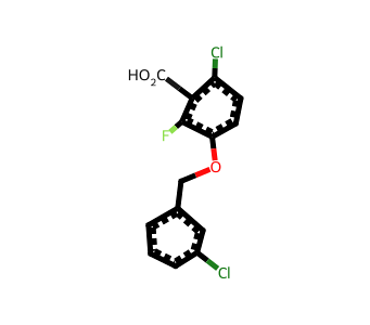 O=C(O)c1c(Cl)ccc(OCc2cccc(Cl)c2)c1F